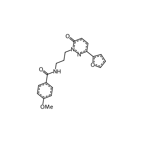 COc1ccc(C(=O)NCCCn2nc(-c3ccco3)ccc2=O)cc1